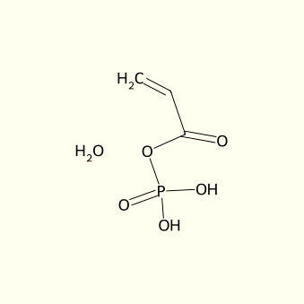 C=CC(=O)OP(=O)(O)O.O